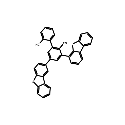 N#Cc1ccccc1-c1cc(-c2ccc3sc4ccccc4c3c2)cc(-c2cccc3c2sc2ccccc23)c1C#N